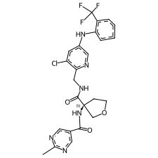 Cc1ncc(C(=O)N[C@@]2(C(=O)NCc3ncc(Nc4ccccc4C(F)(F)F)cc3Cl)CCOC2)cn1